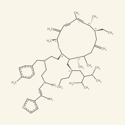 C=C1CC(C)[C@H](C)C(C[C@H](CCC)CC(C(C)C)N(C)C)[C@@H](CCN(CCN(N)/C=C(\N)c2ccsc2)Cc2ccc(C)cc2)C[C@@H](C)C(=C)/C=C/C(C)=C/[C@H](C)[C@@H](CC)C1